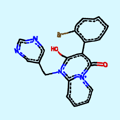 O=c1c(-c2ccccc2Br)c(O)n(Cc2cncnc2)c2cccc[n+]12